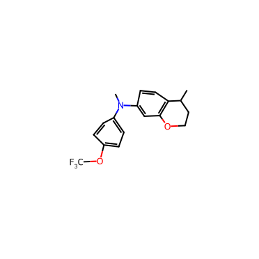 CC1CCOc2cc(N(C)c3ccc(OC(F)(F)F)cc3)ccc21